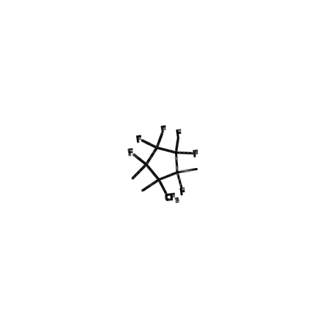 CC1(F)C(F)(F)C(F)(F)C(C)(F)C1(C)C(F)(F)F